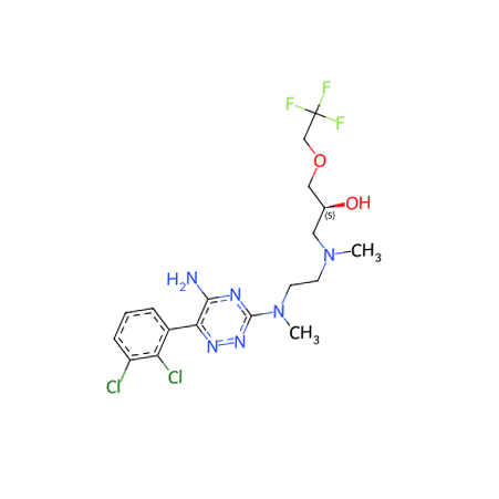 CN(CCN(C)c1nnc(-c2cccc(Cl)c2Cl)c(N)n1)C[C@H](O)COCC(F)(F)F